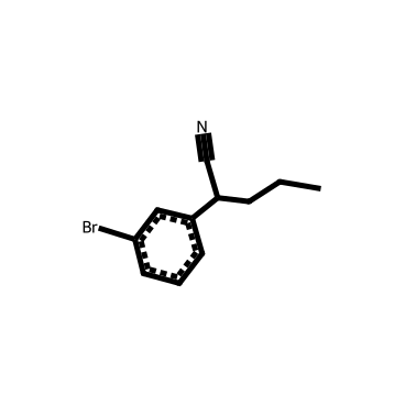 CCCC(C#N)c1cccc(Br)c1